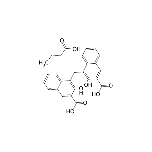 CCCC(=O)O.O=C(O)c1cc2ccccc2c(Cc2c(O)c(C(=O)O)cc3ccccc23)c1O